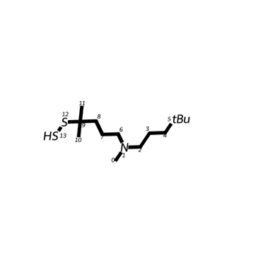 CN(CCCC(C)(C)C)CCCC(C)(C)SS